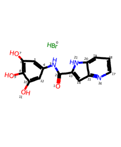 Br.O=C(Nc1cc(O)c(O)c(O)c1)c1cc2ncccc2[nH]1